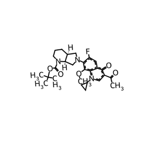 COc1c(N2C[C@@H]3CCCN(C(=O)OC(C)(C)C)[C@@H]3C2)c(F)cc2c(=O)c(C(C)=O)cn(C3CC3)c12